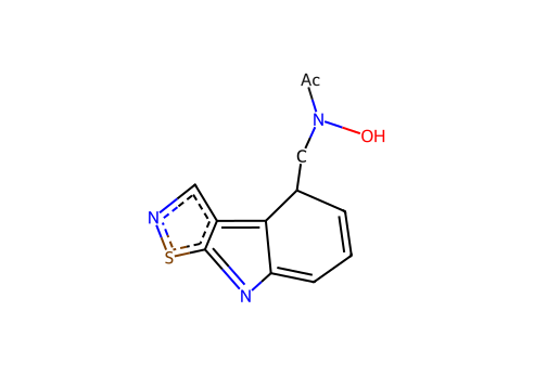 CC(=O)N(O)CC1C=CC=C2N=c3sncc3=C21